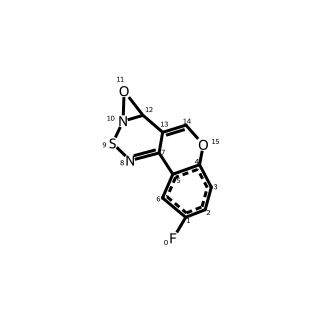 Fc1ccc2c(c1)C1=NSN3OC3C1=CO2